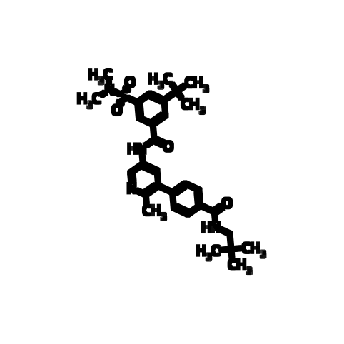 Cc1ncc(NC(=O)c2cc(C(C)(C)C)cc(S(=O)(=O)N(C)C)c2)cc1-c1ccc(C(=O)NCC(C)(C)C)cc1